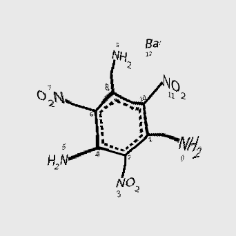 Nc1c([N+](=O)[O-])c(N)c([N+](=O)[O-])c(N)c1[N+](=O)[O-].[Ba]